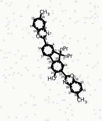 CCCC1(CCC)c2cc(-c3nc4cc(C)ccc4o3)ccc2-c2cc(O)c(-c3nc4cc(C)ccc4o3)cc21